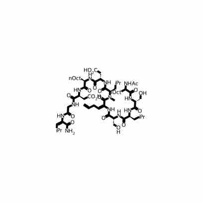 C=CC/C=C(/NC(=O)[C@@H](CO)NC(=O)[C@H](CC(C)C)NC(=O)[C@@H](CO)NC(=O)C(CCCCCCCC)NC(C)=O)C(=O)N(C)[C@H](CC(C)C)C(=O)N[C@@H](CC(=O)O)C(=O)N[C@H](CCCCCCCC)C(=O)N[C@@H](CC(=O)O)C(=O)NCC(=O)N/C(=C/C(C)C)C(N)=O